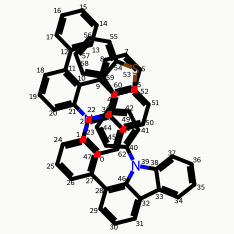 c1ccc(-c2ccccc2-c2c(-c3ccccc3)cccc2N(c2cccc(-c3cccc4c5ccccc5n(-c5ccccc5)c34)c2)c2cccc3sc4ccccc4c23)cc1